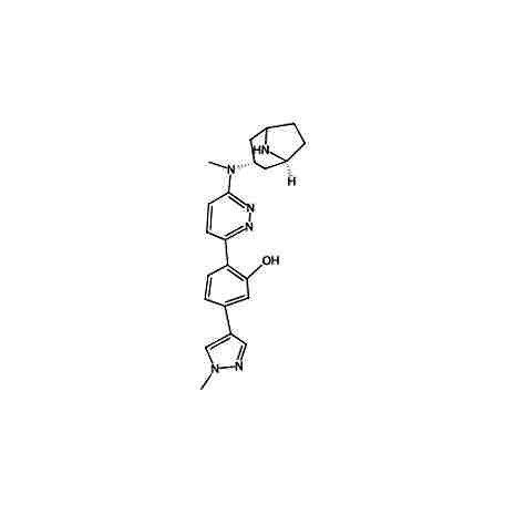 CN(c1ccc(-c2ccc(-c3cnn(C)c3)cc2O)nn1)[C@@H]1CC2CC[C@@H](C1)N2